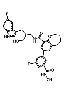 CNC(=O)c1cc(F)cc(-c2cc3c(c(C(=O)NC[C@@H](CO)Cc4c[nH]c5ccc(F)cc45)c2)OCCCC3)c1